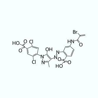 C=C(Br)C(=O)Nc1ccc(S(=O)(=O)O)c(/N=N/c2c(C)nn(-c3cc(Cl)c(S(=O)(=O)O)cc3Cl)c2O)c1